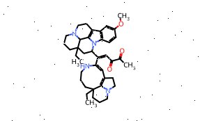 CCC12CCCNC(/C(=C\C(=O)C(C)=O)C3CC4(CC)CCCN5CCc6c(n3c3ccc(OC)cc63)C54)=C\C3=C1N(CCC2)CC3